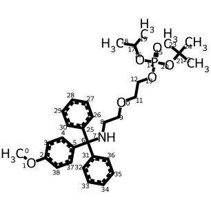 COc1ccc(C(NCCOCCOP(=O)(OC(C)C)OC(C)(C)C)(c2ccccc2)c2ccccc2)cc1